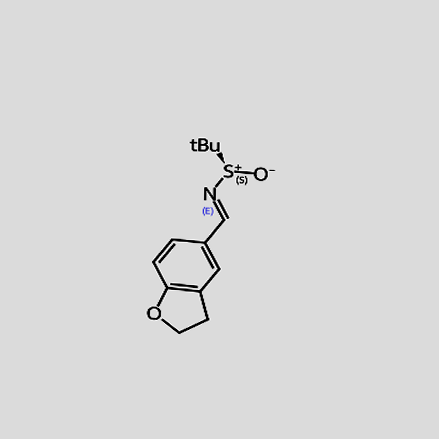 CC(C)(C)[S@@+]([O-])/N=C/c1ccc2c(c1)CCO2